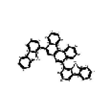 c1ccc2c(c1)oc1c(-c3cc4cc(-c5cccc6c5oc5ccccc56)c5ccccc5c4c4ccccc34)cccc12